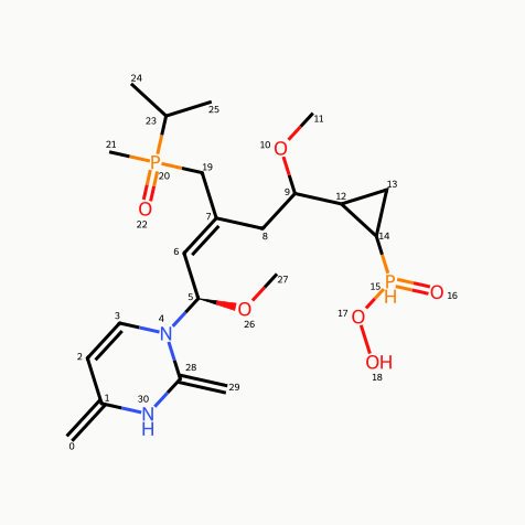 C=C1C=CN([C@@H](/C=C(\CC(OC)C2CC2[PH](=O)OO)CP(C)(=O)C(C)C)OC)C(=C)N1